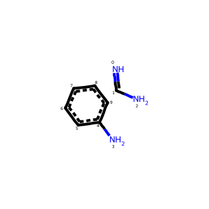 N=CN.Nc1ccccc1